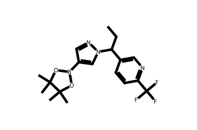 CCC(c1ccc(C(F)(F)F)nc1)n1cc(B2OC(C)(C)C(C)(C)O2)cn1